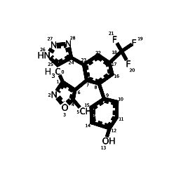 Cc1noc(C)c1-c1c(-c2ccc(O)cc2)cc(C(F)(F)F)cc1-c1c[nH]nn1